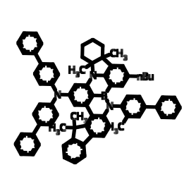 CCCCc1cc2c3c(c1)C1(C)CCCCC1(C)N3c1cc(N(c3ccc(-c4ccccc4)cc3)c3ccc(-c4ccccc4)cc3)cc3c1B2N(c1ccc(-c2ccccc2)cc1C)c1ccc2c(c1-3)C(C)(C)c1ccccc1-2